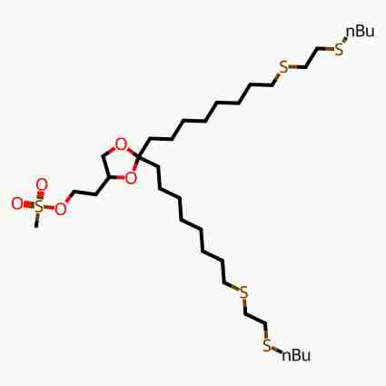 CCCCSCCSCCCCCCCCC1(CCCCCCCCSCCSCCCC)OCC(CCOS(C)(=O)=O)O1